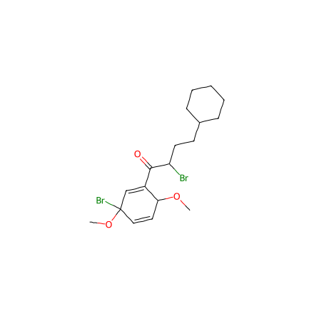 COC1C=CC(Br)(OC)C=C1C(=O)C(Br)CCC1CCCCC1